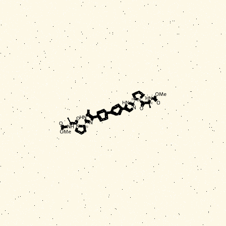 COC(=O)N[C@@H](C)C(=O)N1CCC[C@H]1c1ncc(-c2ccc(-c3ccc(-c4nc([C@@H]5CCCN5C(=O)[C@H](C)NC(=O)OC)[nH]c4C)cc3)cc2)[nH]1